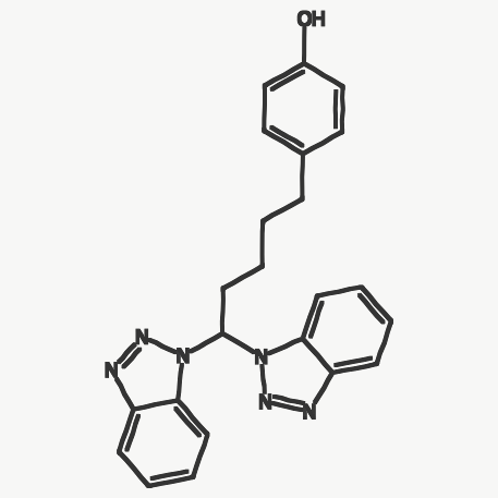 Oc1ccc(CCCCC(n2nnc3ccccc32)n2nnc3ccccc32)cc1